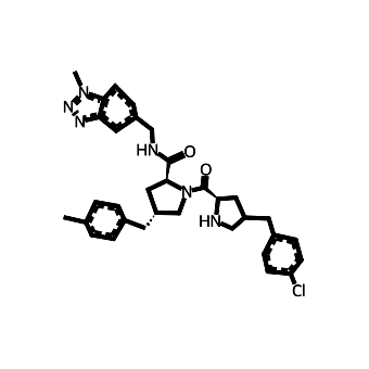 Cc1ccc(C[C@@H]2C[C@@H](C(=O)NCc3ccc4c(c3)nnn4C)N(C(=O)[C@H]3CC(Cc4ccc(Cl)cc4)CN3)C2)cc1